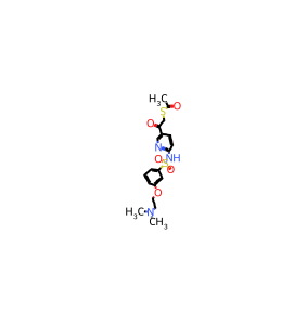 CC(=O)SCC(=O)c1ccc(NS(=O)(=O)c2cccc(OCCN(C)C)c2)nc1